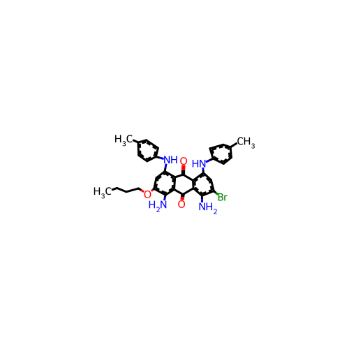 CCCCOc1cc(Nc2ccc(C)cc2)c2c(c1N)C(=O)c1c(N)c(Br)cc(Nc3ccc(C)cc3)c1C2=O